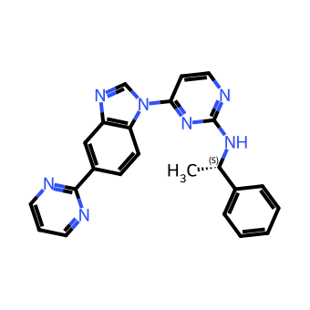 C[C@H](Nc1nccc(-n2cnc3cc(-c4ncccn4)ccc32)n1)c1ccccc1